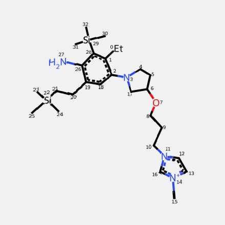 CCc1c(N2CCC(OCCCn3cc[n+](C)c3)C2)cc(CC[Si](C)(C)C)c(N)c1[Si](C)(C)C